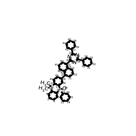 C[Si]1(C)c2ccccc2P(=O)(c2ccccc2)c2cc(-c3cccc4c(-c5nc(-c6ccccc6)nc(-c6ccccc6)n5)cccc34)ccc21